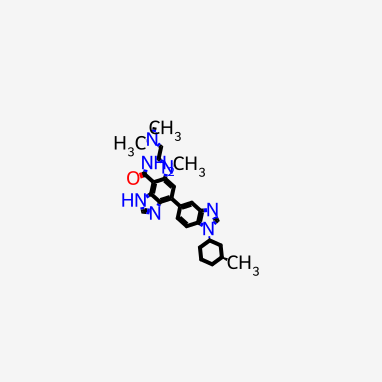 C[C@H]1CCC[C@H](n2cnc3cc(-c4cc(N(C)CCN(C)C)c(C(N)=O)c5[nH]cnc45)ccc32)C1